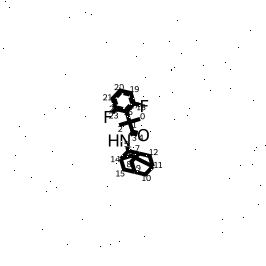 CC(C)(C(=O)NC1C2CC3CC(C2)CC1C3)c1c(F)cccc1F